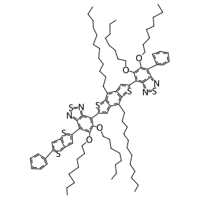 CCCCCCCCCCCCc1c2cc(-c3c(OCCCCCCCC)c(OCCCCCCCC)c(-c4cc5sc(-c6ccccc6)cc5s4)c4nsnc34)sc2c(CCCCCCCCCCCC)c2cc(-c3c(OCCCCCCCC)c(OCCCCCCCC)c(-c4ccccc4)c4nsnc34)sc12